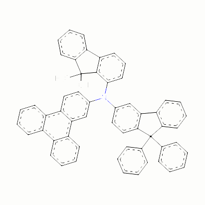 CC1(C)c2ccccc2-c2cccc(N(c3ccc4c(c3)-c3ccccc3C4(c3ccccc3)c3ccccc3)c3ccc4c5ccccc5c5ccccc5c4c3)c21